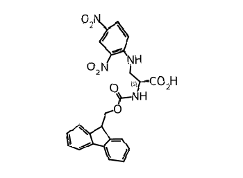 O=C(N[C@@H](CNc1ccc([N+](=O)[O-])cc1[N+](=O)[O-])C(=O)O)OCC1c2ccccc2-c2ccccc21